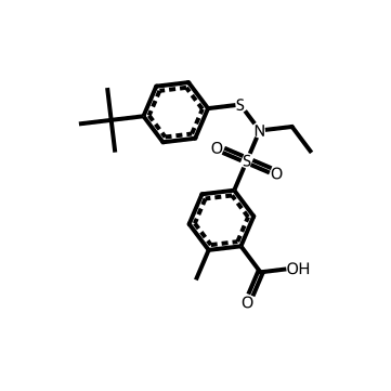 CCN(Sc1ccc(C(C)(C)C)cc1)S(=O)(=O)c1ccc(C)c(C(=O)O)c1